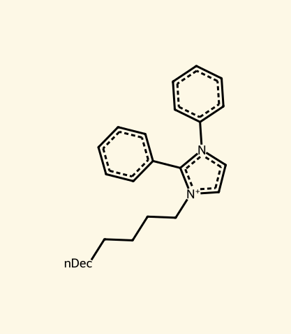 CCCCCCCCCCCCCC[n+]1ccn(-c2ccccc2)c1-c1ccccc1